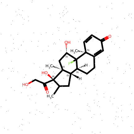 CC1C[C@H]2[C@@H]3CCC4=CC(=O)C=C[C@]4(C)C3(F)[C@@H](O)C[C@]2(C)[C@@]1(O)C(=O)CO